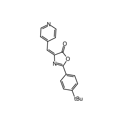 CC(C)(C)c1ccc(C2=NC(=Cc3ccncc3)C(=O)O2)cc1